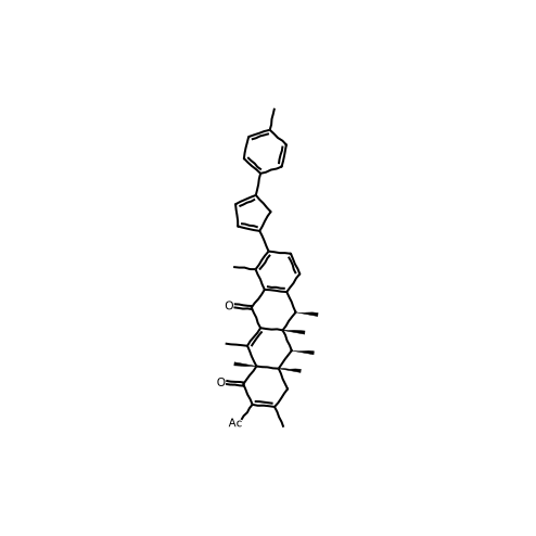 CC(=O)C1=C(C)C[C@@]2(C)[C@H](C)[C@]3(C)C(=C(C)[C@@]2(C)C1=O)C(=O)c1c(ccc(C2=CC=C(c4ccc(C)cc4)C2)c1C)[C@H]3C